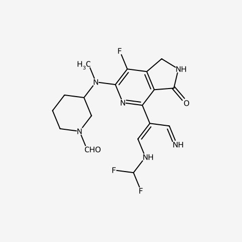 CN(c1nc(/C(C=N)=C/NC(F)F)c2c(c1F)CNC2=O)C1CCCN(C=O)C1